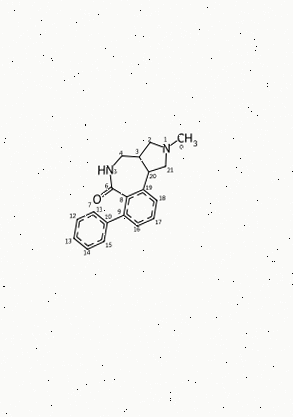 CN1CC2CNC(=O)c3c(-c4ccccc4)cccc3C2C1